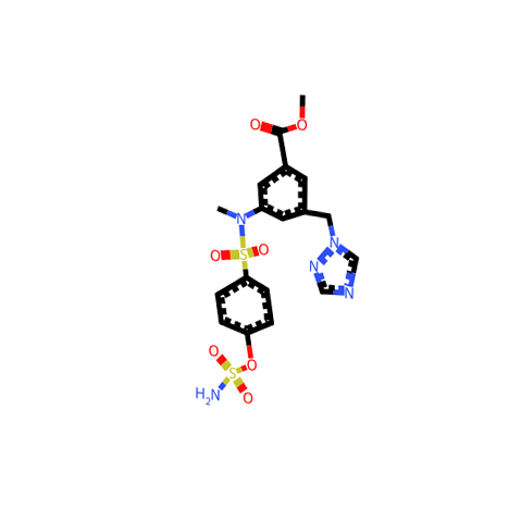 COC(=O)c1cc(Cn2cncn2)cc(N(C)S(=O)(=O)c2ccc(OS(N)(=O)=O)cc2)c1